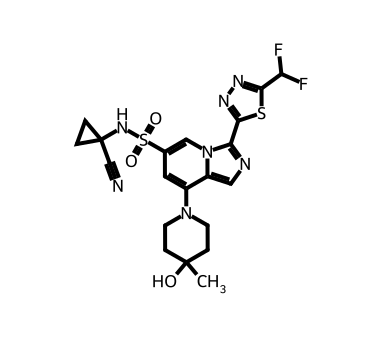 CC1(O)CCN(c2cc(S(=O)(=O)NC3(C#N)CC3)cn3c(-c4nnc(C(F)F)s4)ncc23)CC1